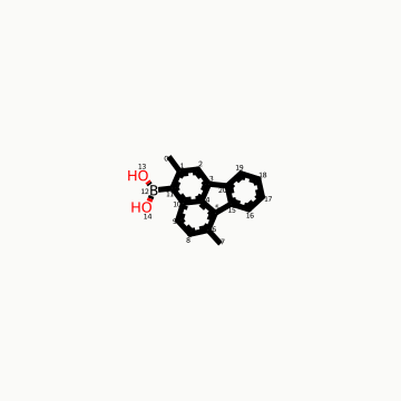 Cc1cc2c3c(c(C)ccc3c1B(O)O)-c1ccccc1-2